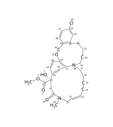 COC(=O)[C@]1(O)CC(=O)N(C)C/C=C/CCCCN2CCCCc3cc(Cl)ccc3COc3ccc1cc32